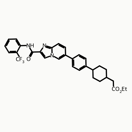 CCOC(=O)CC1CCC(c2ccc(-c3ccc4nc(C(=O)Nc5ccccc5C(F)(F)F)cn4c3)cc2)CC1